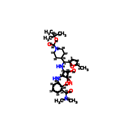 Cc1ccc(C(Nc2c(Nc3cccc(C(=O)N(C)C)c3O)c(=O)c2=O)C2CCN(C(=O)OC(C)(C)C)CC2)o1